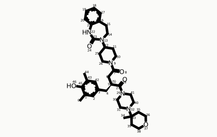 Cc1cc(C[C@@H](CC(=O)N2CCC(N3CCc4ccccc4NC3=O)CC2)C(=O)N2CCN(C3(C)CCOCC3)CC2)cc(C)c1O